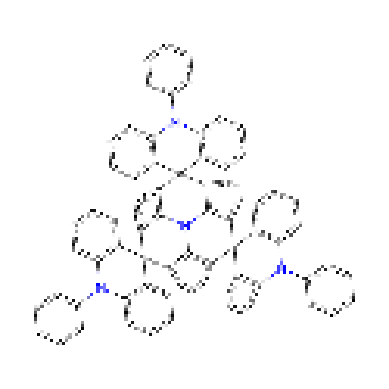 c1ccc(N2c3ccccc3C3(c4ccccc42)c2cccc4c2N2c5c3cccc5C3(c5ccccc5N(c5ccccc5)c5ccccc53)c3cccc(c32)C42c3ccccc3N(c3ccccc3)c3ccccc32)cc1